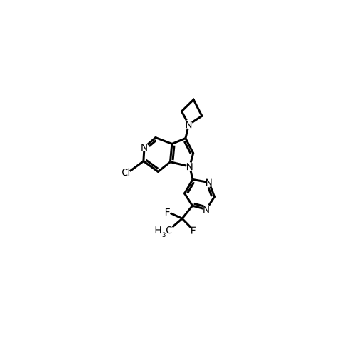 CC(F)(F)c1cc(-n2cc(N3CCC3)c3cnc(Cl)cc32)ncn1